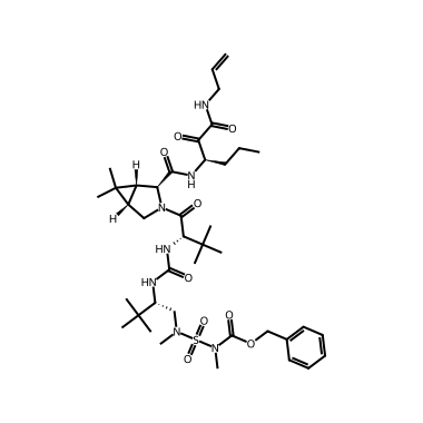 C=CCNC(=O)C(=O)[C@@H](CCC)NC(=O)[C@@H]1[C@@H]2[C@H](CN1C(=O)[C@@H](NC(=O)N[C@H](CN(C)S(=O)(=O)N(C)C(=O)OCc1ccccc1)C(C)(C)C)C(C)(C)C)C2(C)C